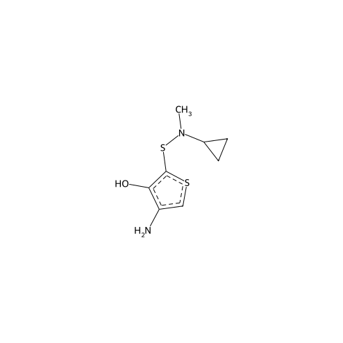 CN(Sc1scc(N)c1O)C1CC1